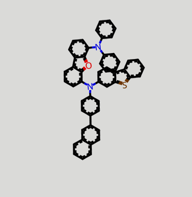 c1ccc(N(c2ccccc2)c2cccc3c2oc2c(N(c4ccc(-c5ccc6ccccc6c5)cc4)c4ccc5c(c4)sc4ccccc45)cccc23)cc1